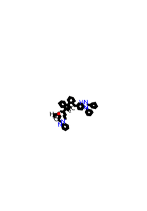 C=C/C(=C\C=C\n1c(-c2ccccc2)nc2ccccc21)c1ccc(C2C=CC=CC2C(=C)c2ccc(N(C(=N)c3ccccc3)c3ccccc3)cc2)c2ccccc12